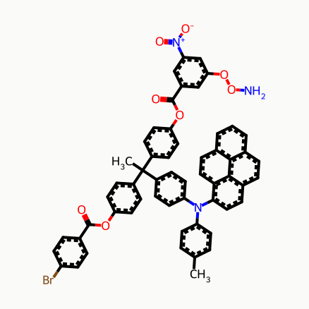 Cc1ccc(N(c2ccc(C(C)(c3ccc(OC(=O)c4ccc(Br)cc4)cc3)c3ccc(OC(=O)c4cc(OON)cc([N+](=O)[O-])c4)cc3)cc2)c2ccc3ccc4cccc5ccc2c3c45)cc1